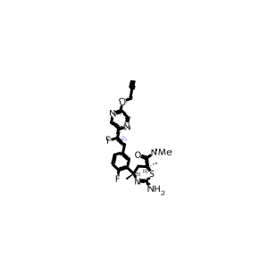 C#CCOc1cnc(/C(F)=C/c2ccc(F)c([C@]3(C)C[C@@](C)(C(=O)NC)SC(N)=N3)c2)cn1